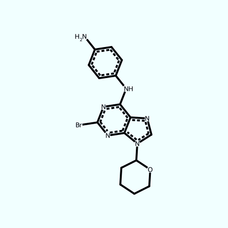 Nc1ccc(Nc2nc(Br)nc3c2ncn3C2CCCCO2)cc1